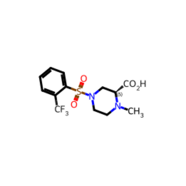 CN1CCN(S(=O)(=O)c2ccccc2C(F)(F)F)C[C@H]1C(=O)O